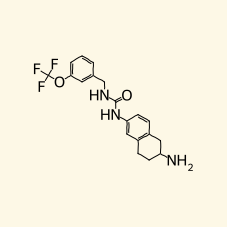 NC1CCc2cc(NC(=O)NCc3cccc(OC(F)(F)F)c3)ccc2C1